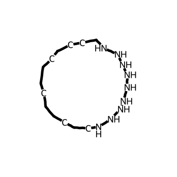 C1CCCCCCNNNNNNNNNCCCCCC1